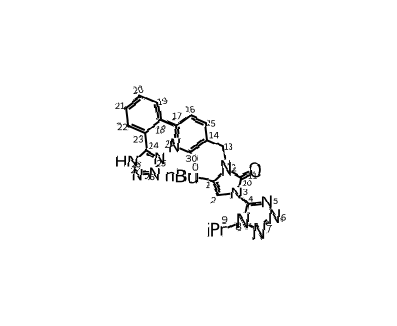 CCCCc1cn(-c2nnnn2C(C)C)c(=O)n1Cc1ccc(-c2ccccc2-c2nnn[nH]2)nc1